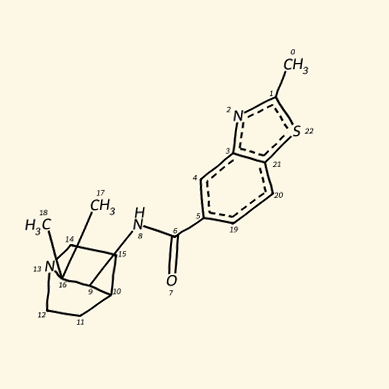 Cc1nc2cc(C(=O)NC3C4CCN(CC4)C3(C)C)ccc2s1